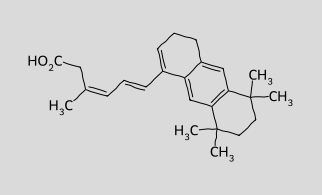 CC(=CC=CC1=CCCc2cc3c(cc21)C(C)(C)CCC3(C)C)CC(=O)O